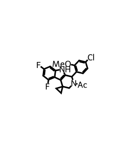 COc1cc(Cl)ccc1C1c2[nH]c3cc(F)cc(F)c3c2C2(CC2)CN1C(C)=O